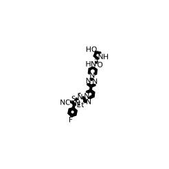 CCc1nc2ccc(-c3cnc(N4CCC(NC(=O)[C@@H]5C[C@@H](O)CN5)CC4)nc3)cn2c1N(C)c1nc(-c2ccc(F)cc2)c(C#N)s1